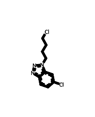 ClCCCCn1nnc2ccc(Cl)cc21